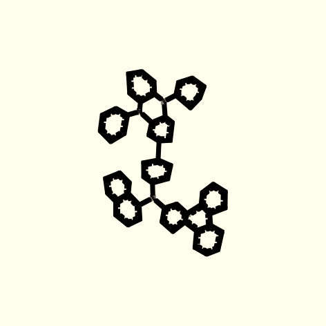 c1ccc(N2c3ccccc3N(c3ccccc3)c3cc(-c4ccc(N(c5ccc6c7ccccc7c7ccccc7c6c5)c5cccc6ccccc56)cc4)ccc32)cc1